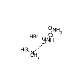 Br.CN(CCO)CCCCCCCC(=O)Nc1ccc(C(N)=O)cc1